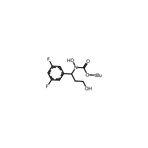 CC(C)(C)OC(=O)N(O)C(CCO)c1cc(F)cc(F)c1